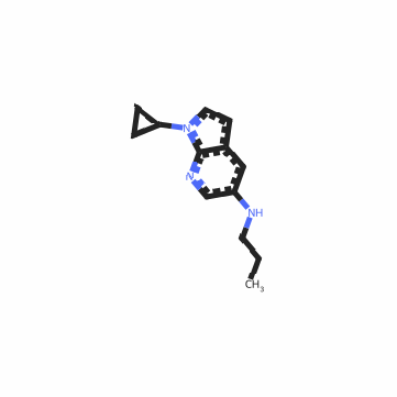 CCCNc1cnc2c(ccn2C2CC2)c1